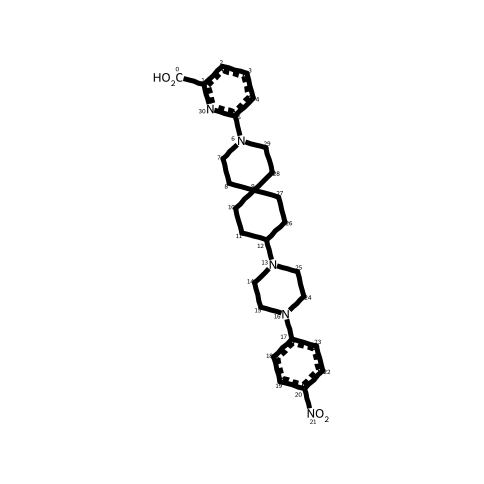 O=C(O)c1cccc(N2CCC3(CCC(N4CCN(c5ccc([N+](=O)[O-])cc5)CC4)CC3)CC2)n1